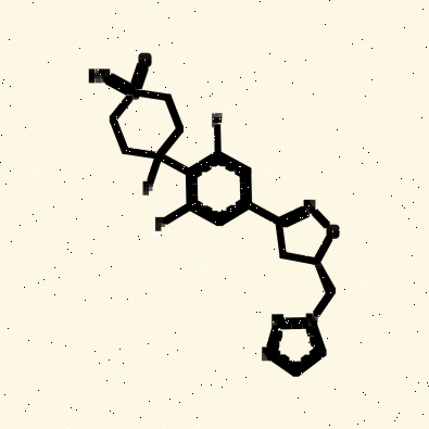 N=S1(=O)CCC(F)(c2c(F)cc(C3=NO[C@@H](Cn4ccnn4)C3)cc2F)CC1